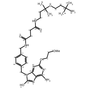 COCCOc1nc(N)c2nc(O)n(Cc3ccc(CNC(=O)CCC(=O)NCCC(C)(C)OCCC(C)(C)N)cc3)c2n1